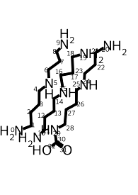 NCCCCNCCCN.NCCCCNCCCN.NCCCNCCCCNC(=O)O